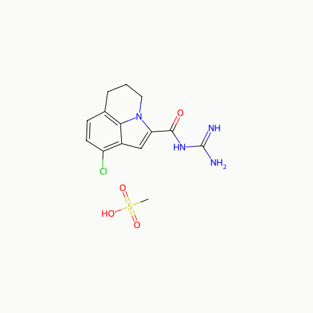 CS(=O)(=O)O.N=C(N)NC(=O)c1cc2c(Cl)ccc3c2n1CCC3